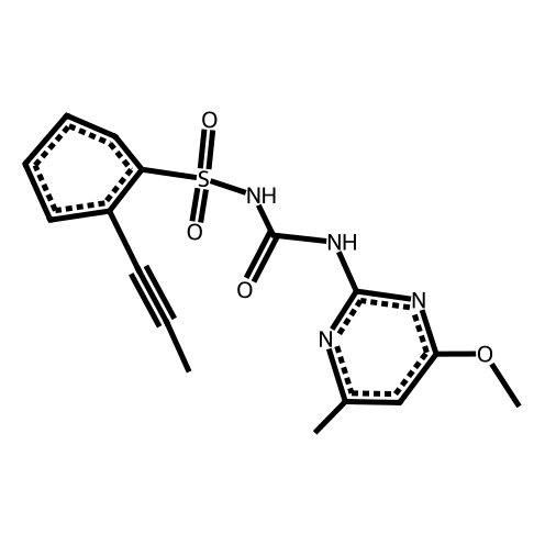 CC#Cc1ccccc1S(=O)(=O)NC(=O)Nc1nc(C)cc(OC)n1